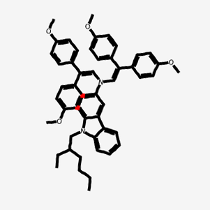 CCCCC(CC)Cn1c2ccccc2c2cc(N(C=C(c3ccc(OC)cc3)c3ccc(OC)cc3)C=C(c3ccc(OC)cc3)c3ccc(OC)cc3)ccc21